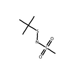 CC(C)(C)S[N]S(C)(=O)=O